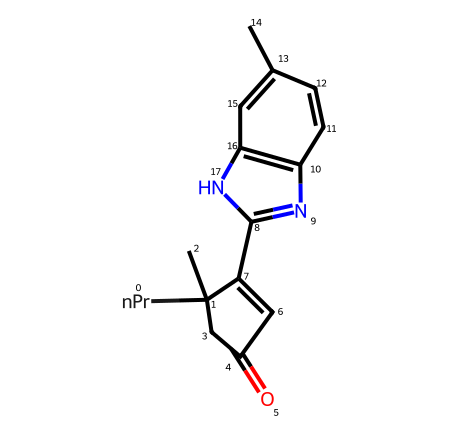 CCCC1(C)CC(=O)C=C1c1nc2ccc(C)cc2[nH]1